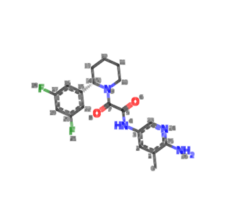 Cc1cc(NC(=O)C(=O)N2CCCC[C@H]2c2cc(F)cc(F)c2)cnc1N